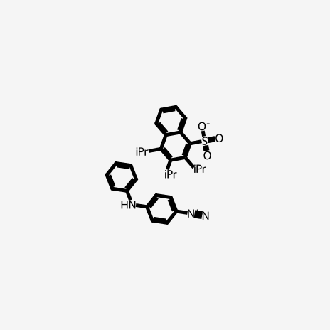 CC(C)c1c(C(C)C)c(S(=O)(=O)[O-])c2ccccc2c1C(C)C.N#[N+]c1ccc(Nc2ccccc2)cc1